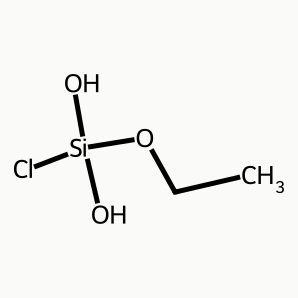 CCO[Si](O)(O)Cl